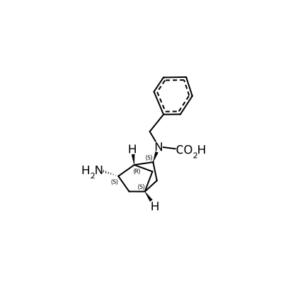 N[C@H]1C[C@@H]2C[C@H]1[C@@H](N(Cc1ccccc1)C(=O)O)C2